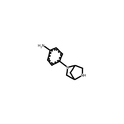 Nc1ccc(N2CC3CC2CN3)cc1